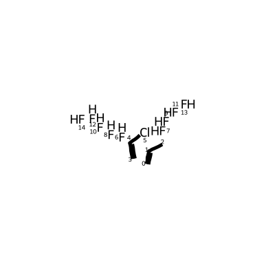 C=CC.C=CCl.F.F.F.F.F.F.F.F.F